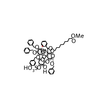 COC(=O)CCCCCCCCO[C@@H]1O[C@H](COCc2ccccc2)[C@@H](O[C@@H]2O[C@H](C)C[C@H](OS(=O)(=O)O)[C@H]2O)[C@H](O[C@@H]2O[C@@H](C)[C@@H](OCc3ccccc3)[C@@H](OCc3ccccc3)[C@@H]2OCc2ccccc2)[C@H]1NC(=O)c1ccccc1